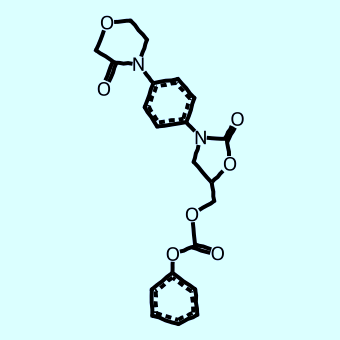 O=C(OCC1CN(c2ccc(N3CCOCC3=O)cc2)C(=O)O1)Oc1ccccc1